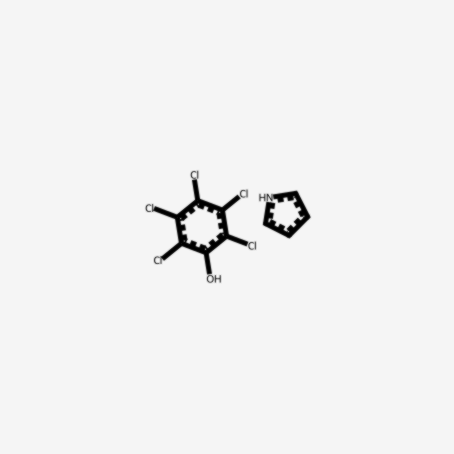 Oc1c(Cl)c(Cl)c(Cl)c(Cl)c1Cl.c1cc[nH]c1